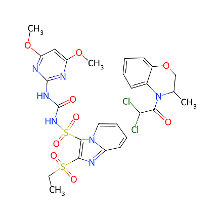 CC1COc2ccccc2N1C(=O)C(Cl)Cl.CCS(=O)(=O)c1nc2ccccn2c1S(=O)(=O)NC(=O)Nc1nc(OC)cc(OC)n1